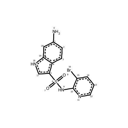 Nc1ccc2c(S(=O)(=O)Nc3ncccc3Br)c[nH]c2c1